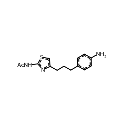 CC(=O)Nc1nc(CCCc2ccc(N)cc2)cs1